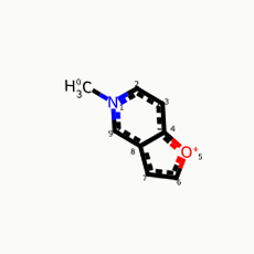 Cn1ccc2[o+]ccc-2c1